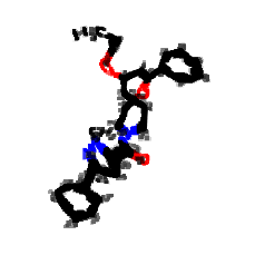 CCOC1CC(c2ccccc2)OC2(CCN(C(=O)c3cc(-c4ccccc4)nn3C)CC2)C1